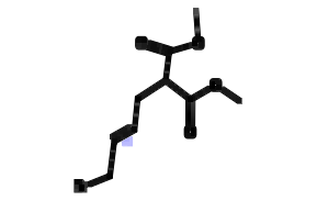 COC(=O)C(C/C=C/CBr)C(=O)OC